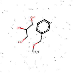 O=C(O)OCc1ccccc1.OCC(O)CO